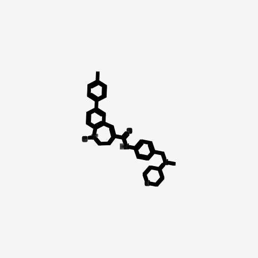 Cc1ccc(-c2ccc3c(c2)C=C(C(=O)Nc2ccc(CN(C)C4CCOCC4)cc2)CC[S+]3[O-])cc1